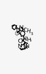 CC1=NN(c2ccccc2)C(=O)[C@]12CC[C@H](NC(=O)c1cnn3cccnc13)CC2